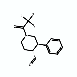 O=C[C@@H]1CCN(C(=O)C(F)(F)F)C[C@H]1c1ccccc1